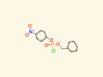 O=[N+]([O-])c1ccc(OP(=O)(Cl)OCc2ccccc2)cc1